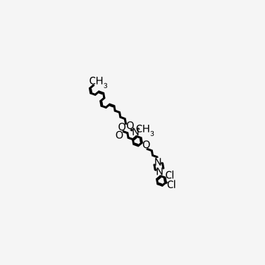 CC/C=C\C/C=C\C/C=C\C/C=C\CCCCC(=O)OCN(C)c1cc(OCCCCN2CCN(c3cccc(Cl)c3Cl)CC2)ccc1CCC=O